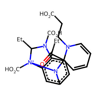 CCC(=O)C1(N2c3ccc4c(c3)[N+]2(C(=O)O)C(CC)N4C(=O)O)C=CC=CN1CCC(=O)O